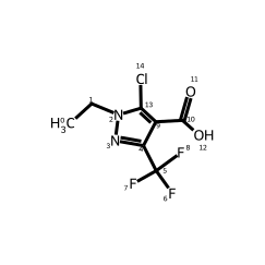 CCn1nc(C(F)(F)F)c(C(=O)O)c1Cl